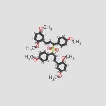 COc1ccc(C(/C=C/c2cc(OC)ccc2OC)S(=O)(=O)C(/C=C/c2cc(OC)ccc2OC)c2ccc(OC)cc2)cc1